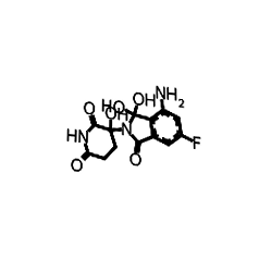 Nc1cc(F)cc2c1C(O)(O)N(C1(O)CCC(=O)NC1=O)C2=O